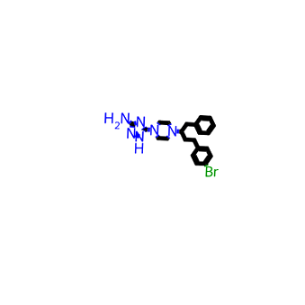 Nc1n[nH]c(N2CCN(C(CCc3ccc(Br)cc3)Cc3ccccc3)CC2)n1